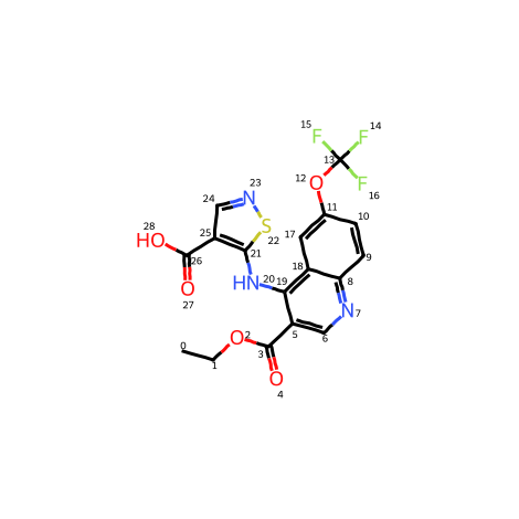 CCOC(=O)c1cnc2ccc(OC(F)(F)F)cc2c1Nc1sncc1C(=O)O